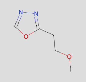 COCCc1nnco1